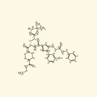 CCOC(=O)N1CCN(C(=O)[C@H](CCC(=O)OC(C)(C)C)NC(=O)c2cc(OCC(=O)OCc3ccccc3)n(-c3cccc(F)c3)n2)CC1